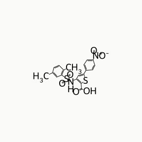 Cc1ccc(C)c(S(=O)(=O)Nc2cc(-c3ccc([N+](=O)[O-])cc3)sc2C(=O)O)c1